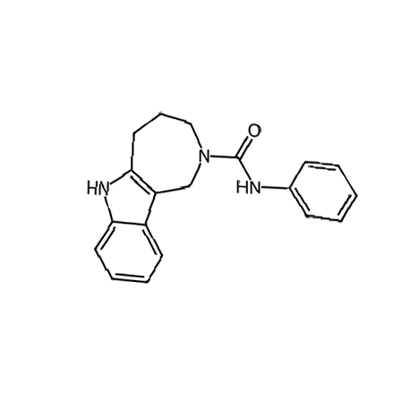 O=C(Nc1ccccc1)N1CCCc2[nH]c3ccccc3c2C1